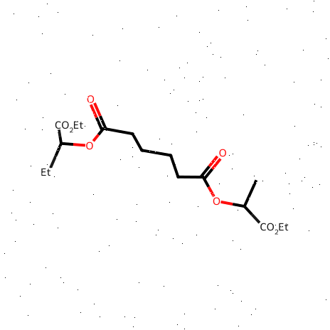 CCOC(=O)C(C)OC(=O)CCCCC(=O)OC(CC)C(=O)OCC